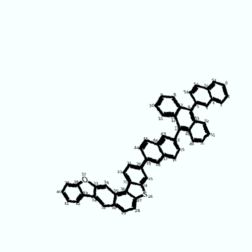 c1ccc2cc(-c3c4ccccc4c(-c4ccc5cc(-c6ccc7c(c6)sc6ccc8cc9c(cc8c67)oc6ccccc69)ccc5c4)c4ccccc34)ccc2c1